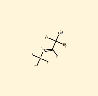 CCC(O)(CC)C(C)=N[Si](C)(C)C